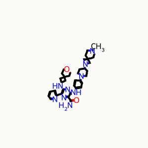 CN1CCC2(CC1)CN(C1CCN(c3ccc(Nc4nc(NC5CC6(CCOCC6)C5)c(-c5ccccn5)nc4C(N)=O)cc3)CC1)C2